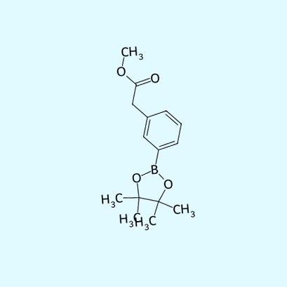 COC(=O)Cc1cccc(B2OC(C)(C)C(C)(C)O2)c1